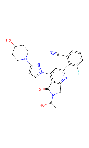 CB(O)N1Cc2nc(-c3c(F)cccc3C#N)cc(-n3ccc(N4CCC(O)CC4)n3)c2C1=O